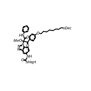 CCCCCCCCCCCCCCCCCCOc1ccc(C(=O)C(OC)(C(=O)Nc2ccccc2)n2nnc3cc(NC(=O)CCCCCCC)ccc32)cc1